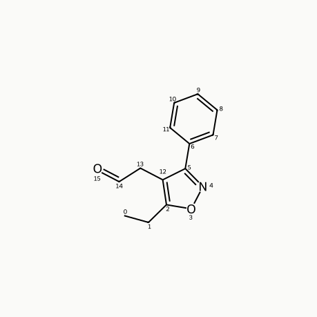 CCc1onc(-c2ccccc2)c1CC=O